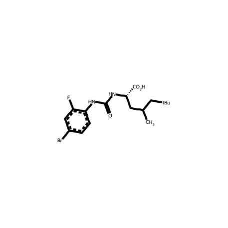 CC(C[C@H](NC(=O)Nc1ccc(Br)cc1F)C(=O)O)CC(C)(C)C